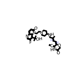 C=C=C1NC(=O)CO/C1=C/C=C(\C)CNC1CCN(CCn2c(=O)ccc3ncc(F)c(C(C)(C)O)c32)CC1